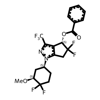 CO[C@H]1C[C@@H](n2nc(C(F)(F)F)c3c2CC(F)(F)[C@H]3OC(=O)c2ccccc2)CCC1(F)F